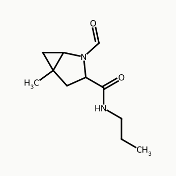 CCCNC(=O)C1CC2(C)CC2N1C=O